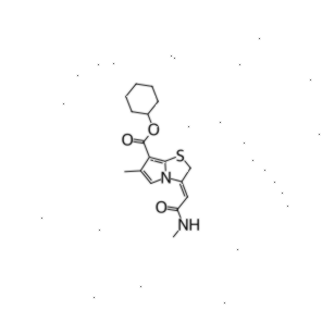 CNC(=O)C=C1CSc2c(C(=O)OC3CCCCC3)c(C)cn21